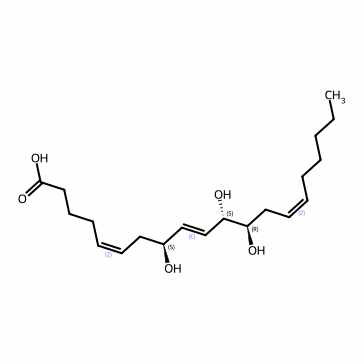 CCCCC/C=C\C[C@@H](O)[C@@H](O)/C=C/[C@@H](O)C/C=C\CCCC(=O)O